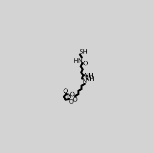 O=C(CCCC1CN(CCCCCC(=O)ON2C(=O)CCC2=O)NN1)NCCS